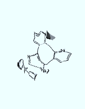 [Cl][Pt][Cl].c1cnc2c(c1)c1nc[nH]c1c1cccnc12